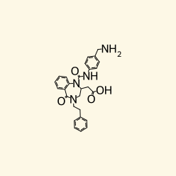 NCc1ccc(NC(=O)N2c3ccccc3C(=O)N(CCc3ccccc3)CC2CC(=O)O)cc1